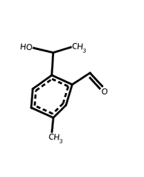 Cc1ccc(C(C)O)c(C=O)c1